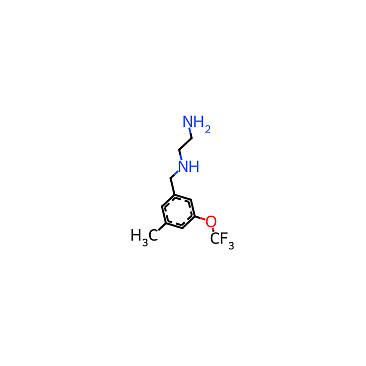 Cc1cc(CNCCN)cc(OC(F)(F)F)c1